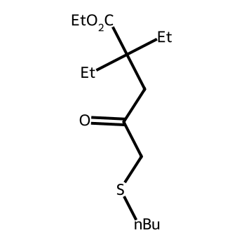 CCCCSCC(=O)CC(CC)(CC)C(=O)OCC